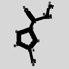 CCn1cc(C(=O)NC(C)C)cn1